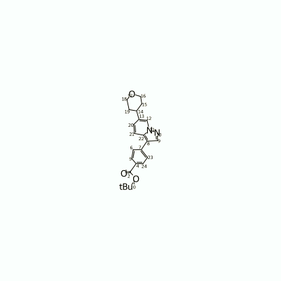 CC(C)(C)OC(=O)c1ccc(-c2cnn3cc(C4CCOCC4)ccc23)cc1